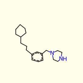 c1cc(CCCC2CCCCC2)cc(CN2CCNCC2)c1